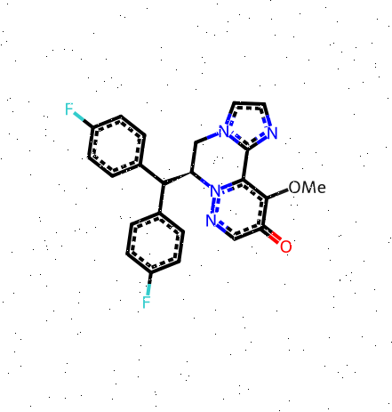 [CH2]Oc1c2n(ncc1=O)[C@@H](C(c1ccc(F)cc1)c1ccc(F)cc1)Cn1ccnc1-2